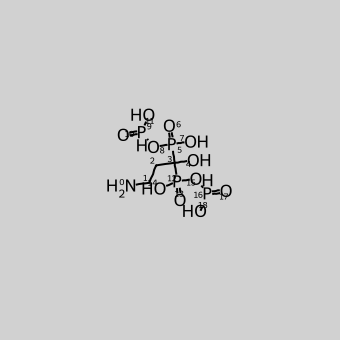 NCCC(O)(P(=O)(O)O[PH](=O)O)P(=O)(O)O[PH](=O)O